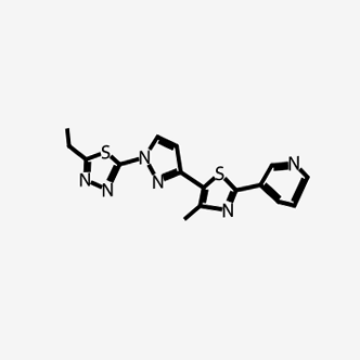 CCc1nnc(-n2ccc(-c3sc(-c4cccnc4)nc3C)n2)s1